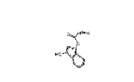 CCCCCCCC(=O)On1cc(O)c2ccccc21